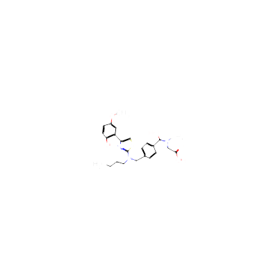 CCCCN(Cc1ccc(C(O)N(C)CC(=O)O)cc1)c1nc(-c2cc(OC)ccc2O)cs1